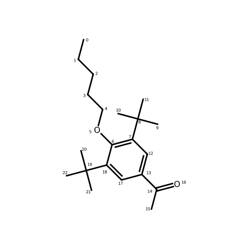 CCCCCOc1c(C(C)(C)C)cc(C(C)=O)cc1C(C)(C)C